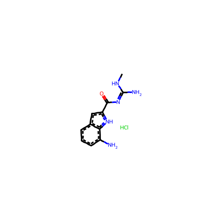 CNC(N)=NC(=O)c1cc2cccc(N)c2[nH]1.Cl